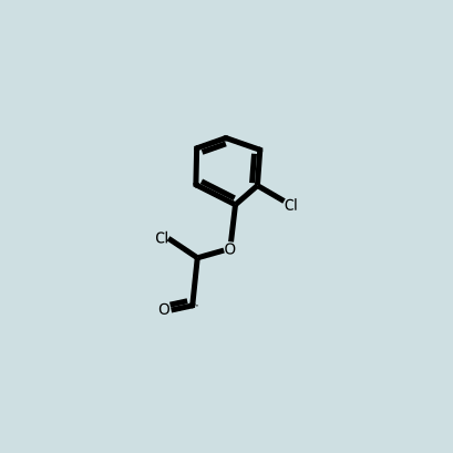 O=[C]C(Cl)Oc1ccccc1Cl